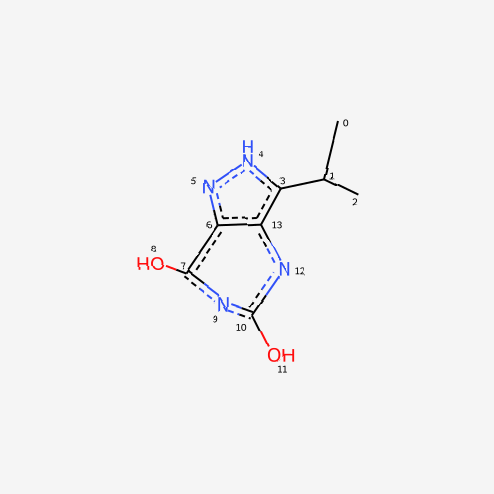 CC(C)c1[nH]nc2c(O)nc(O)nc12